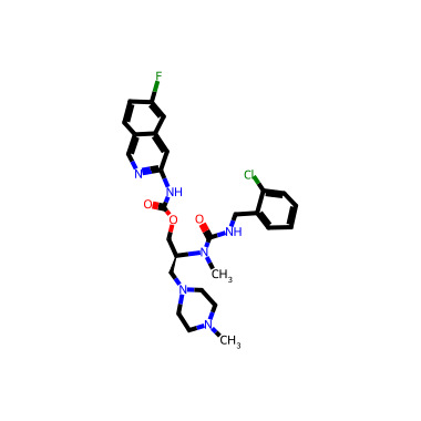 CN1CCN(C[C@@H](COC(=O)Nc2cc3cc(F)ccc3cn2)N(C)C(=O)NCc2ccccc2Cl)CC1